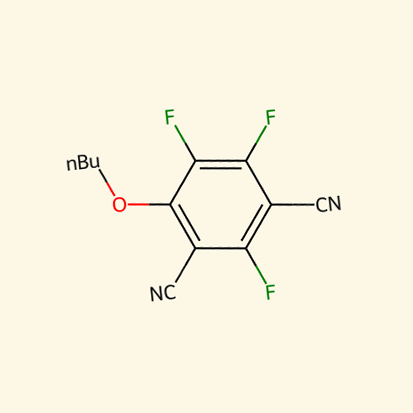 CCCCOc1c(F)c(F)c(C#N)c(F)c1C#N